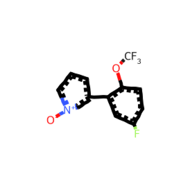 [O-][n+]1cccc(-c2cc(F)ccc2OC(F)(F)F)c1